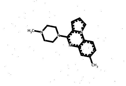 Cc1ccc2c(c1)nc(N1CCN(C)CC1)c1cccn12